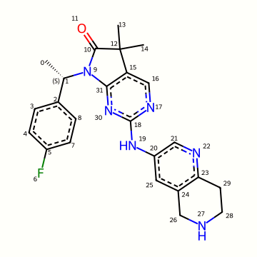 C[C@@H](c1ccc(F)cc1)N1C(=O)C(C)(C)c2cnc(Nc3cnc4c(c3)CNCC4)nc21